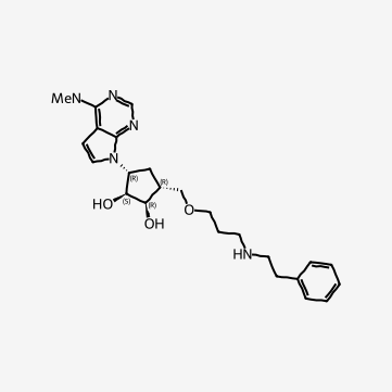 CNc1ncnc2c1ccn2[C@@H]1C[C@H](COCCCNCCc2ccccc2)[C@@H](O)[C@H]1O